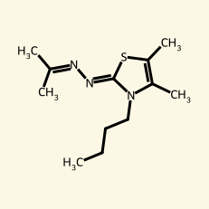 CCCCn1c(C)c(C)sc1=NN=C(C)C